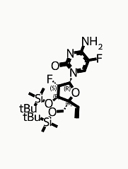 C=C[C@]1(CO[Si](C)(C)C(C)(C)C)O[C@@H](n2cc(F)c(N)nc2=O)[C@@H](F)[C@@H]1O[Si](C)(C)C(C)(C)C